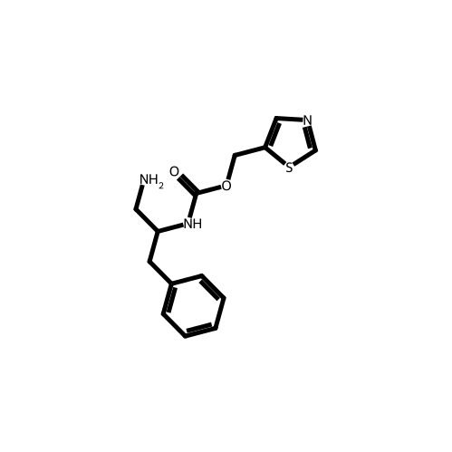 NCC(Cc1ccccc1)NC(=O)OCc1cncs1